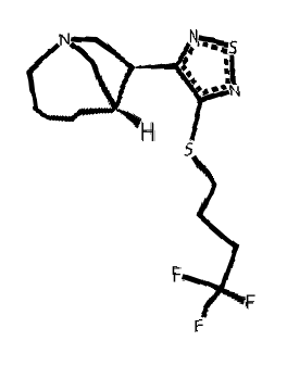 FC(F)(F)CCCSc1nsnc1[C@@H]1CN2CCC[C@@H]1C2